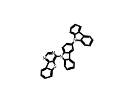 c1ccc2c(c1)sc1c(-n3c4ccccc4c4cc(-n5c6ccccc6c6ccccc65)ccc43)ncnc12